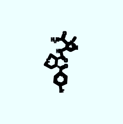 Cn1ncc(NC(=O)[C@@H]2CCCC[C@H]2C(=O)c2ccc(Br)cc2)c1C(N)=O